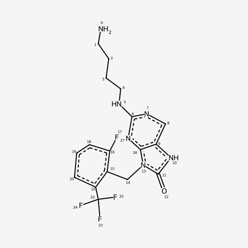 NCCCCNc1ncc2[nH]c(=O)n(Cc3c(F)cccc3C(F)(F)F)c2n1